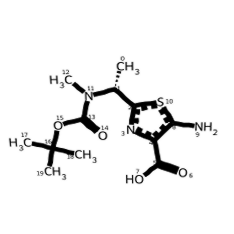 C[C@H](c1nc(C(=O)O)c(N)s1)N(C)C(=O)OC(C)(C)C